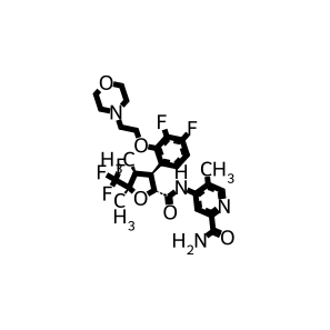 Cc1cnc(C(N)=O)cc1NC(=O)[C@@H]1O[C@@](C)(C(F)(F)F)[C@@H](C)[C@H]1c1ccc(F)c(F)c1OCCN1CCOCC1